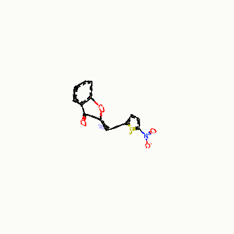 O=C1/C(=C/c2ccc([N+](=O)[O-])s2)Oc2ccccc21